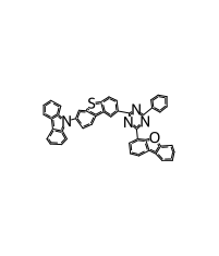 c1ccc(-c2nc(-c3ccc4sc5cc(-n6c7ccccc7c7ccccc76)ccc5c4c3)nc(-c3cccc4c3oc3ccccc34)n2)cc1